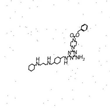 Nc1nc(NCC2CCC(CNCCCNC3CCCCC3)CC2)nc(N2CCN(C(=O)OCc3ccccc3)CC2)n1